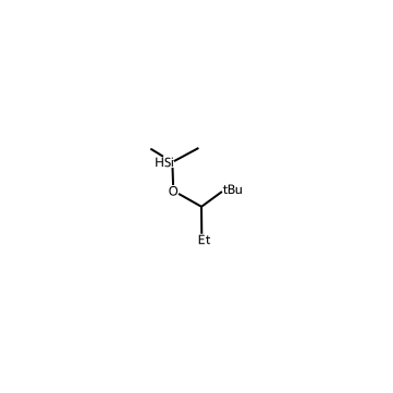 [CH2]CC(O[SiH](C)C)C(C)(C)C